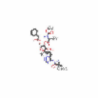 COC(C)(C)C(=O)Nc1ncnn2c([C@]3(C#N)O[C@H](COC(=O)CC4CCCCC4)[C@@H](OC(=O)[C@@H](NC(=O)OC(C)(C)C)C(C)C)[C@H]3O)ccc12